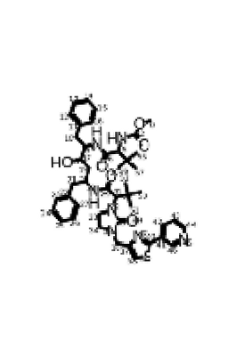 COC(=O)NC(C(=O)NC(Cc1ccccc1)C(O)CC(Cc1ccccc1)NC(=O)C(N1CCN(Cc2csc(-c3cccnc3)n2)C1=O)C(C)(C)C)C(C)(C)C